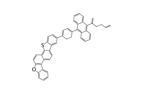 C=CCCC(=C)c1c2ccccc2c(C2=CC=C(c3ccc4sc5c(ccc6c5ccc5oc7ccccc7c56)c4c3)CC2)c2ccccc12